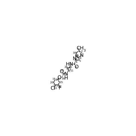 Cc1cnc2cc(C(=O)NC34CC(NC(=O)COc5ccc(Cl)c(F)c5)(C3)C4)nn2c1